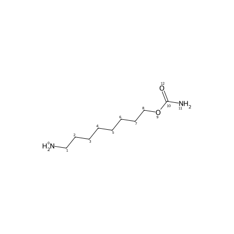 NCCCCCCCCOC(N)=O